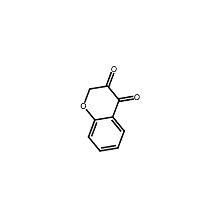 O=C1COc2ccccc2C1=O